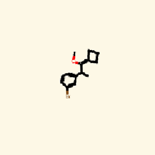 COC(=C1CCC1)C(C)c1cccc(Br)c1